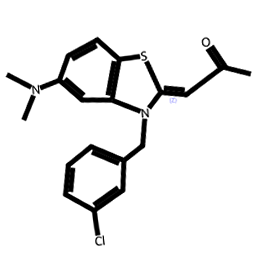 CC(=O)/C=C1\Sc2ccc(N(C)C)cc2N1Cc1cccc(Cl)c1